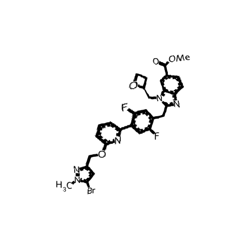 COC(=O)c1ccc2nc(Cc3cc(F)c(-c4cccc(OCc5cc(Br)n(C)n5)n4)cc3F)n(C[C@@H]3CCO3)c2c1